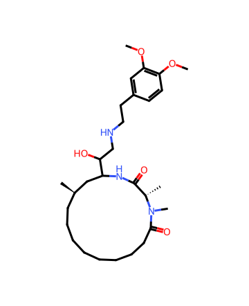 COc1ccc(CCNCC(O)C2C[C@H](C)CCCCCCCCC(=O)N(C)[C@@H](C)C(=O)N2)cc1OC